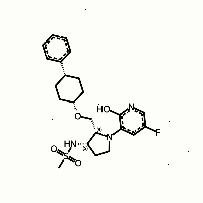 CS(=O)(=O)N[C@H]1CCN(c2cc(F)cnc2O)[C@H]1CO[C@H]1CC[C@@H](c2ccccc2)CC1